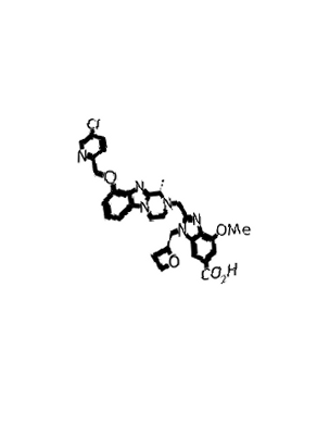 COc1cc(C(=O)O)cc2c1nc(CN1CCn3c(nc4c(OCc5ccc(Cl)cn5)cccc43)[C@@H]1C)n2C[C@@H]1CCO1